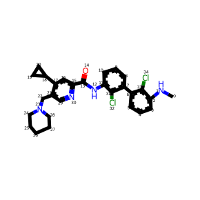 CNc1cccc(-c2cccc(NC(=O)c3cc(C4CC4)c(CN4CCCCC4)cn3)c2Cl)c1Cl